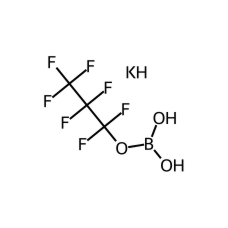 OB(O)OC(F)(F)C(F)(F)C(F)(F)F.[KH]